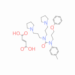 Cc1ccc(N(CCCOc2ccccc2)C(=O)N(CCCN2CCCC2)CCCN2CCCC2)cc1.O=C(O)C=CC(=O)O